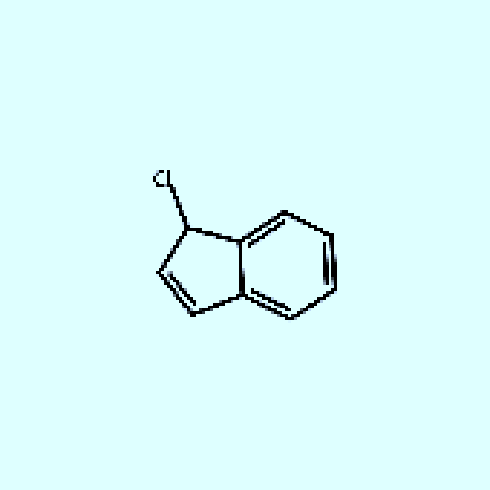 ClC1C=Cc2ccccc21